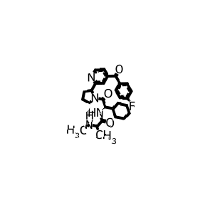 CNC(C)C(=O)N[C@H](C(=O)N1CCCC1c1cc(C(=O)c2ccc(F)cc2)ccn1)C1CCCCC1